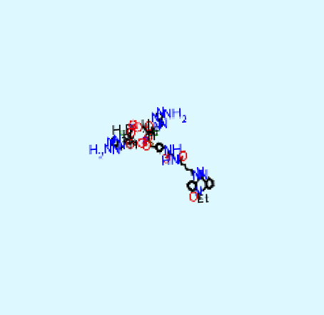 BP1(=O)OC[C@H]2O[C@@H](n3cnc4c(N)ncnc43)[C@H](F)[C@@H]2OP(=O)(SCc2ccc(NC(=O)CNC(=O)CCCCCn3nnc4c3-c3ccccc3N(C(=O)CC)Cc3ccccc3-4)cc2)OC[C@H]2O[C@@H](n3cnc4c(N)ncnc43)[C@H](F)[C@@H]2O1